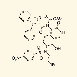 COC(=O)N(C(=O)[C@@H](N)C(c1ccccc1)c1ccccc1)c1c(SC[C@@H](CO)N(CCC(C)C)S(=O)(=O)c2ccc([N+](=O)[O-])cc2)cc[nH]c1=O